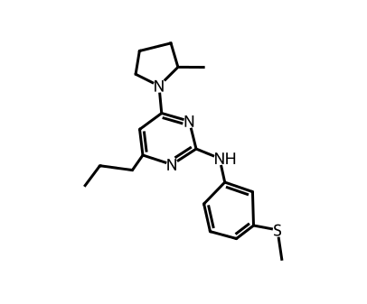 CCCc1cc(N2CCCC2C)nc(Nc2cccc(SC)c2)n1